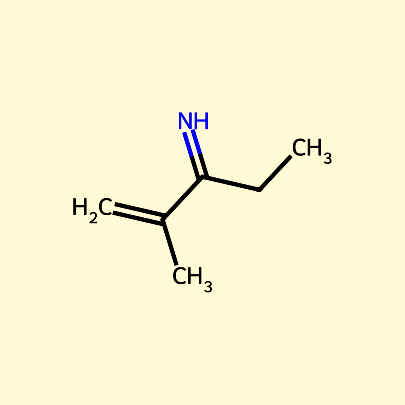 C=C(C)C(=N)CC